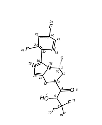 C[C@@H]1CN(C(=O)C(O)C(F)(F)F)Cc2cnc(-c3ncc(F)cc3F)n21